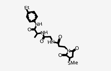 CCc1ccc(NC(=O)C(C)NC(=O)CNC(=O)CCN2C(=O)CC(SC)C2=O)cc1